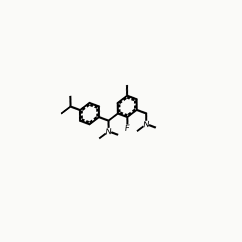 Cc1cc(CN(C)C)c(F)c(C(c2ccc(C(C)C)cc2)N(C)C)c1